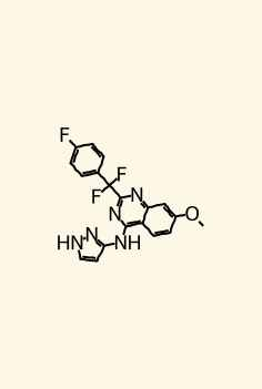 COc1ccc2c(Nc3cc[nH]n3)nc(C(F)(F)c3ccc(F)cc3)nc2c1